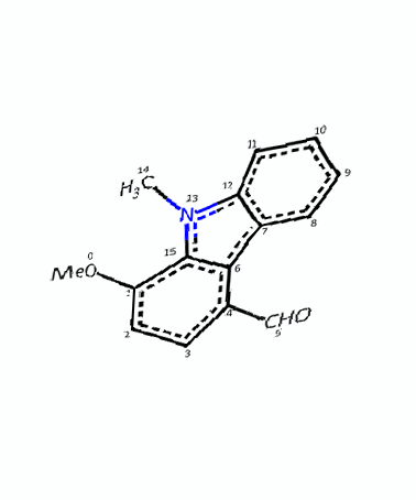 COc1ccc(C=O)c2c3ccccc3n(C)c12